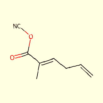 C=CCC=C(C)C(=O)OC#N